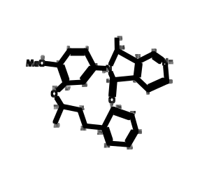 COc1ccc(N2C(=O)c3ccncc3C2C)cc1OC(C)CCc1ccccc1